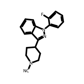 N#CN1CCC(c2nn(-c3ccccc3F)c3ccccc23)CC1